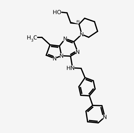 CCc1cnn2c(NCc3ccc(-c4cccnc4)cc3)nc(N3CCCC[C@@H]3CCO)nc12